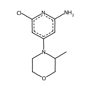 CC1COCCN1c1cc(N)nc(Cl)c1